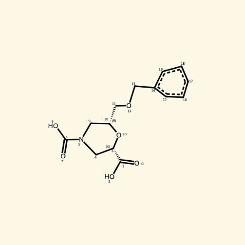 O=C(O)[C@@H]1CN(C(=O)O)C[C@H](COCc2ccccc2)O1